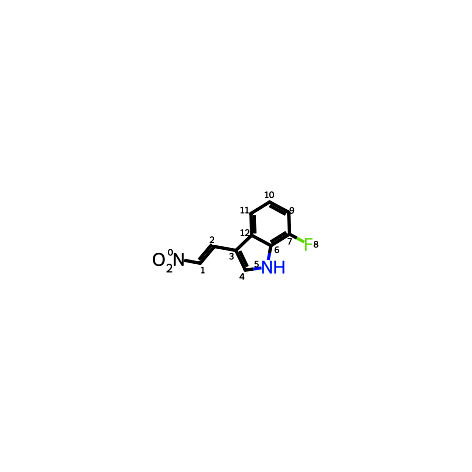 O=[N+]([O-])C=Cc1c[nH]c2c(F)cccc12